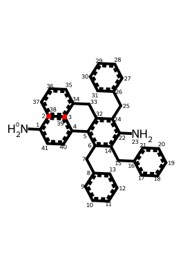 Nc1ccc(-c2c(Cc3ccccc3)c(Cc3ccccc3)c(N)c(Cc3ccccc3)c2Cc2ccccc2)cc1